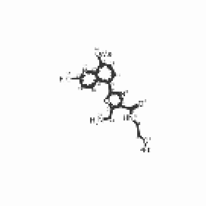 CCOCCNC(=O)c1nc(-c2ccc(OC)c3nc(C(F)(F)F)ccc23)oc1CN